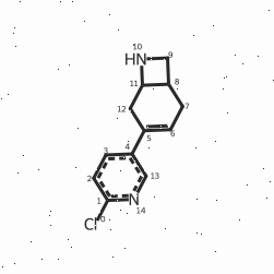 Clc1ccc(C2=CCC3CNC3C2)cn1